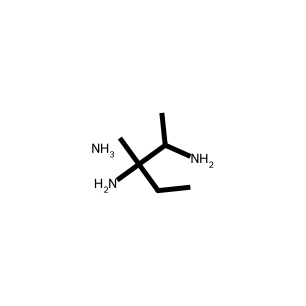 CCC(C)(N)C(C)N.N